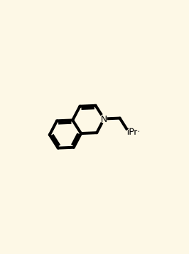 C[C](C)CN1C=Cc2ccccc2C1